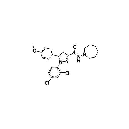 COC1=CCC(C2CC(C(=O)NN3CCCCCC3)=NN2c2ccc(Cl)cc2Cl)C=C1